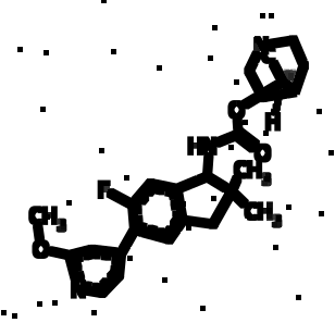 COc1cc(-c2cc3c(cc2F)C(NC(=O)O[C@H]2CN4CCC2CC4)C(C)(C)C3)ccn1